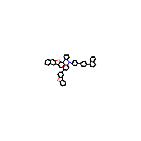 c1ccc(N(c2ccc(-c3ccc(-c4cccc5ccccc45)cc3)cc2)c2ccc(-c3ccc4oc5ccccc5c4c3)cc2)c(-c2cccc3c2oc2cc4ccccc4cc23)c1